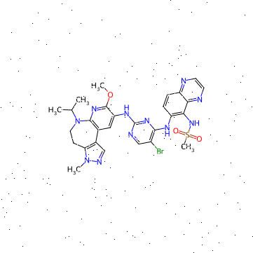 COc1nc2c(cc1Nc1ncc(Br)c(Nc3ccc4nccnc4c3NS(C)(=O)=O)n1)-c1cnn(C)c1CCN2C(C)C